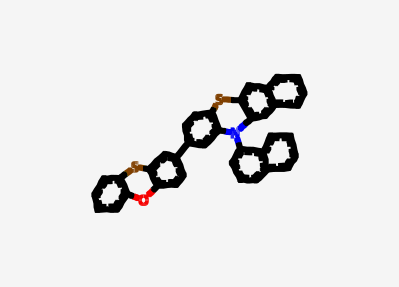 c1ccc2c(c1)Oc1ccc(-c3ccc4c(c3)N(c3cccc5ccccc35)c3cc5ccccc5cc3S4)cc1S2